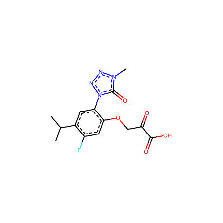 CC(C)c1cc(-n2nnn(C)c2=O)c(OCC(=O)C(=O)O)cc1F